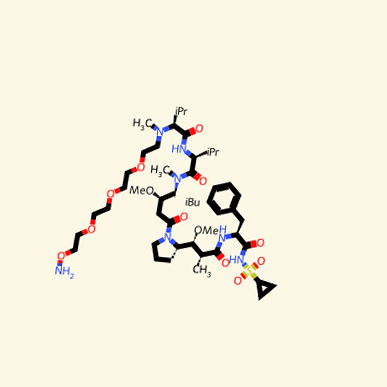 CC[C@H](C)[C@@H]([C@@H](CC(=O)N1CCC[C@H]1[C@H](OC)[C@@H](C)C(=O)N[C@@H](Cc1ccccc1)C(=O)NS(=O)(=O)C1CC1)OC)N(C)C(=O)[C@@H](NC(=O)[C@H](C(C)C)N(C)CCOCCOCCOCCON)C(C)C